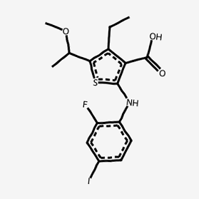 CCc1c(C(C)OC)sc(Nc2ccc(I)cc2F)c1C(=O)O